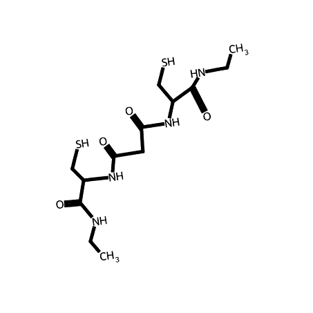 CCNC(=O)C(CS)NC(=O)CC(=O)NC(CS)C(=O)NCC